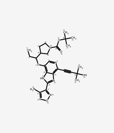 CCC(Oc1cnc(C#CC(C)(C)O)c2nc(-c3nonc3N)[nH]c12)C1CCN(C(=O)OC(C)(C)C)C1